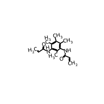 C=CC(=O)Nc1c(C)c(C)c(C)c(NC(=O)C=C)c1C